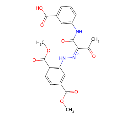 COC(=O)c1ccc(C(=O)OC)c(N/N=C(/C(C)=O)C(=O)Nc2cccc(C(=O)O)c2)c1